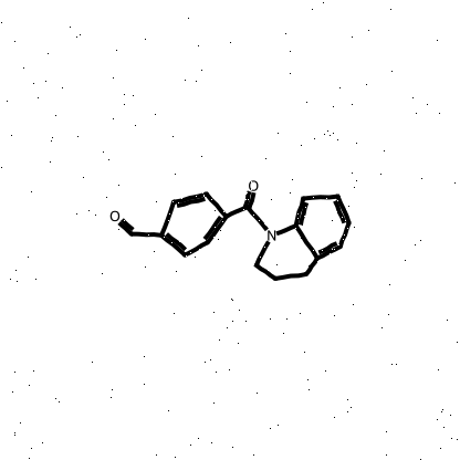 O=Cc1ccc(C(=O)N2CCCc3ccccc32)cc1